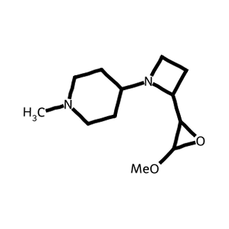 COC1OC1C1CCN1C1CCN(C)CC1